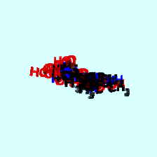 CC[C@]1(O)CCC[C@](C(=O)OC)(c2cc3c(cc2OC)N(C)[C@H]2[C@@](O)(C(=O)NNC(=O)OCCSSC[C@H](NC(=O)[C@@H](CCC(=O)NC[C@H](O)[C@@H](O)[C@H](O)[C@H](O)CO)NC(=O)[C@@H](CCC(=O)O)NC)C(=O)O)[C@H](O)[C@]4(CC)C=CCN5CC[C@]32[C@@H]54)c2[nH]c3ccccc3c2CCNC1